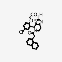 O=C(O)COc1ccc(Cl)cc1C1c2scnc2CCN1C(=O)Cc1cccc2ccccc12